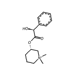 C[N+]1(C)CCC[C@H](OC(=O)[C@@H](O)c2ccccc2)C1